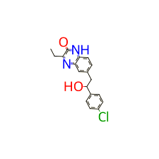 CCc1nc2cc(CC(O)c3ccc(Cl)cc3)ccc2[nH]c1=O